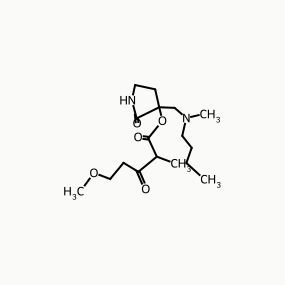 CCCCN(C)CC1(OC(=O)C(C)C(=O)CCOC)CCNC1=O